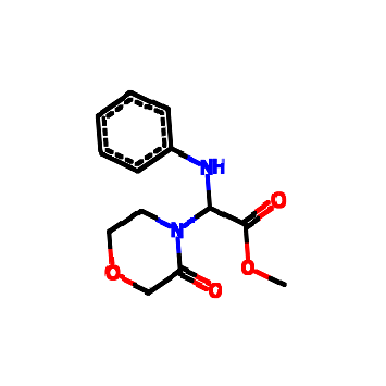 COC(=O)C(Nc1ccccc1)N1CCOCC1=O